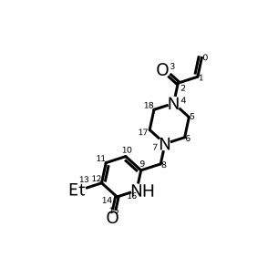 C=CC(=O)N1CCN(Cc2ccc(CC)c(=O)[nH]2)CC1